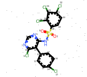 O=S(=O)(Nc1ncnc(Cl)c1-c1ccc(Cl)cc1)c1ccc(Cl)c(Cl)c1Cl